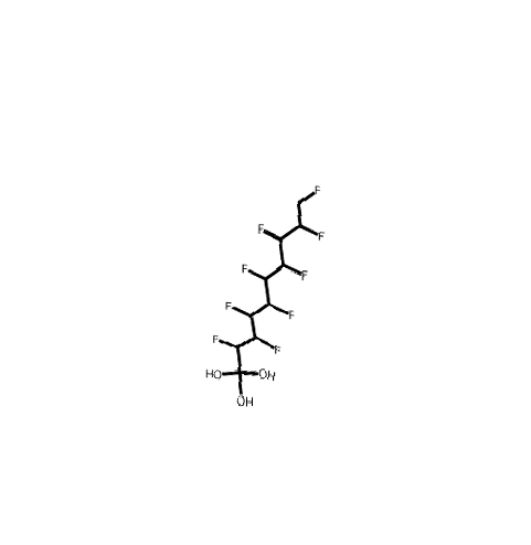 OC(O)(O)C(F)C(F)C(F)C(F)C(F)C(F)C(F)C(F)CF